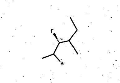 CCC(C)[C@H](F)C(C)Br